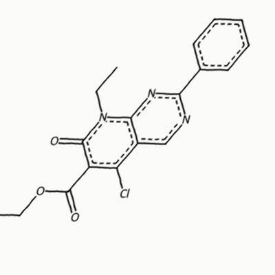 CCOC(=O)c1c(Cl)c2cnc(-c3ccccc3)nc2n(CC)c1=O